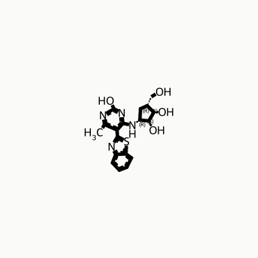 Cc1nc(O)nc(N[C@@H]2C[C@H](CO)[C@@H](O)[C@H]2O)c1-c1nc2ccccc2s1